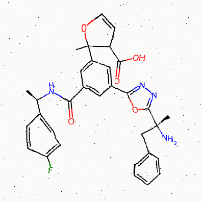 C[C@@H](NC(=O)c1cc(-c2nnc([C@](C)(N)Cc3ccccc3)o2)cc(C2(C)OC=CC2C(=O)O)c1)c1ccc(F)cc1